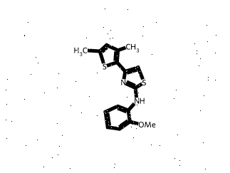 COc1ccccc1Nc1nc(-c2sc(C)cc2C)cs1